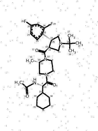 CC(=O)N[C@H](C(=O)N1CCN(C(=O)[C@@H]2CN(C(C)(C)C)C[C@H]2c2ccc(F)cc2F)[C@@H](C)C1)C1CCCCC1